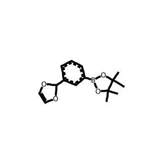 CC1(C)OB(c2cccc(C3OC=CO3)c2)OC1(C)C